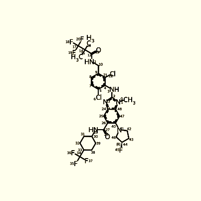 Cn1c(Nc2c(Cl)ccc(CNC(=O)C(C)(C)C(F)(F)F)c2Cl)nc2cc(C(=O)NC3CCC(C(F)(F)F)CC3)c(N3CC[C@@H](F)C3)cc21